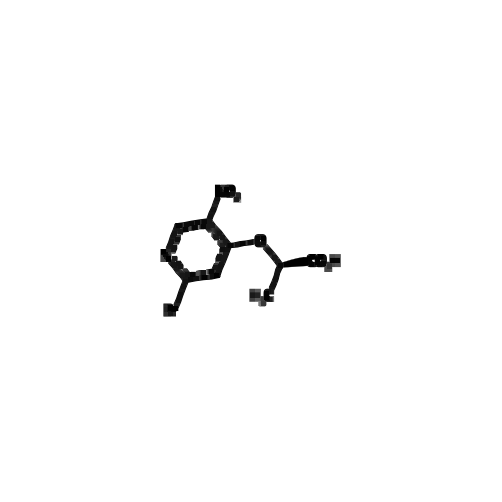 C[C@@H](Oc1cc(Br)ncc1[N+](=O)[O-])C(=O)O